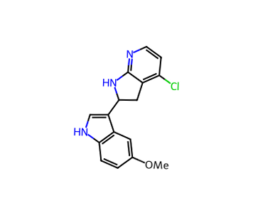 COc1ccc2[nH]cc(C3Cc4c(Cl)ccnc4N3)c2c1